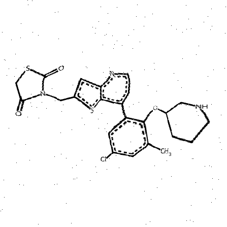 Cc1cc(Cl)cc(-c2ccnc3cc(CN4C(=O)CSC4=O)sc23)c1OC1CCCNC1